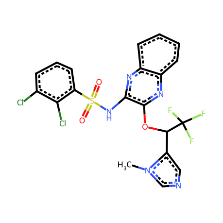 Cn1cncc1C(Oc1nc2ccccc2nc1NS(=O)(=O)c1cccc(Cl)c1Cl)C(F)(F)F